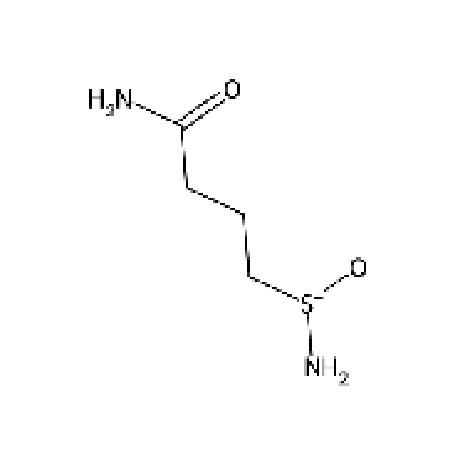 NC(=O)CCC[S+](N)[O-]